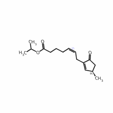 CC(C)OC(=O)CCC/C=C\CC1=C[C@H](C)CC1=O